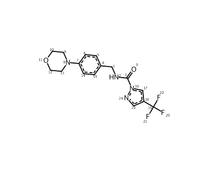 O=C(NCc1ccc(N2CCOCC2)cc1)n1cc(C(F)(F)F)cn1